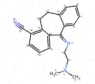 CN(C)CCN=C1c2ccccc2CCc2c(C#N)cccc21